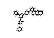 c1ccc(-c2nc(-c3ccc(-c4ccncc4)cc3)cc(-c3ccc(-c4cccc5c4ccc4cc6ccccc6cc45)cc3)n2)cc1